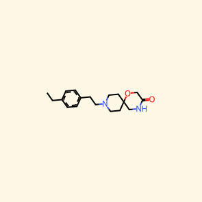 CCc1ccc(CCN2CCC3(CC2)CNC(=O)CO3)cc1